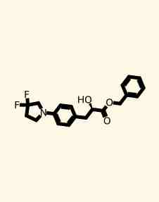 O=C(OCc1ccccc1)[C@H](O)Cc1ccc(N2CCC(F)(F)C2)cc1